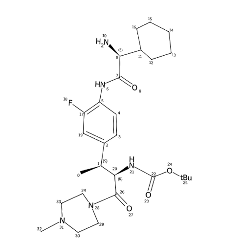 C[C@@H](c1ccc(NC(=O)[C@@H](N)C2CCCCC2)c(F)c1)[C@@H](NC(=O)OC(C)(C)C)C(=O)N1CCN(C)CC1